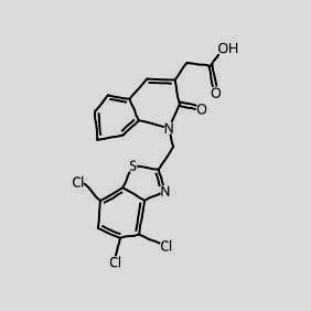 O=C(O)Cc1cc2ccccc2n(Cc2nc3c(Cl)c(Cl)cc(Cl)c3s2)c1=O